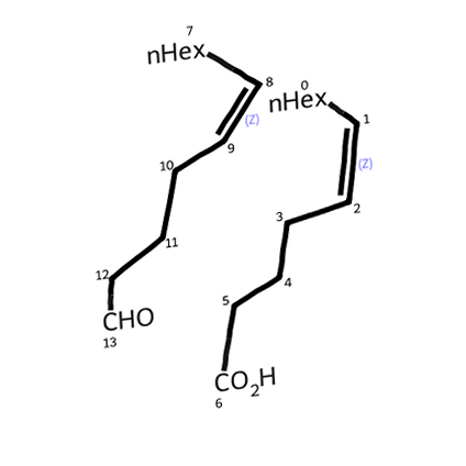 CCCCCC/C=C\CCCC(=O)O.CCCCCC/C=C\CCCC=O